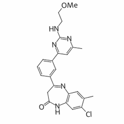 COCCNc1nc(C)cc(-c2cccc(C3=Nc4cc(C)c(Cl)cc4NC(=O)C3)c2)n1